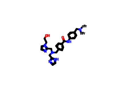 CCCN(CCC)Cc1ccc(NC(=O)c2ccc(CN(Cc3ncc[nH]3)Cc3nccn3CCO)cc2)cc1